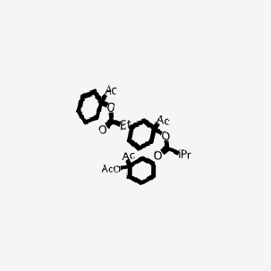 CC(=O)C1(OC(=O)C(C)C)CCCCC1.CC(=O)OC1(C(C)=O)CCCCC1.CCC(=O)OC1(C(C)=O)CCCCC1